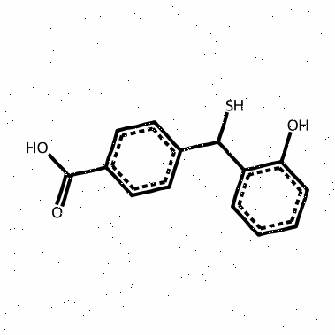 O=C(O)c1ccc(C(S)c2ccccc2O)cc1